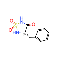 O=C1NS(=O)(=O)N[C@H]1Cc1ccccc1